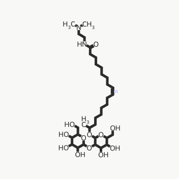 CC(CCCCCC/C=C\CCCCCCCC(=O)NCCN(C)C)OC1OC(CO)C(O)C(O)C1OC1OC(CO)C(O)C(O)C1O